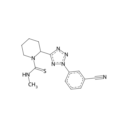 CNC(=S)N1CCCCC1c1nnn(-c2cccc(C#N)c2)n1